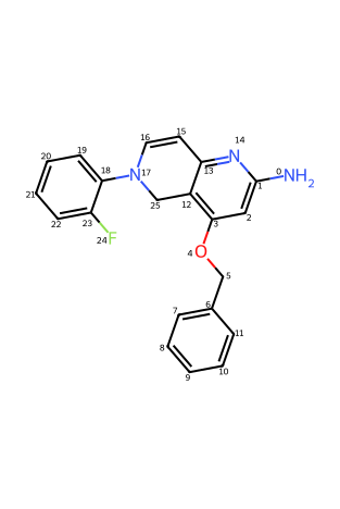 Nc1cc(OCc2ccccc2)c2c(n1)C=CN(c1ccccc1F)C2